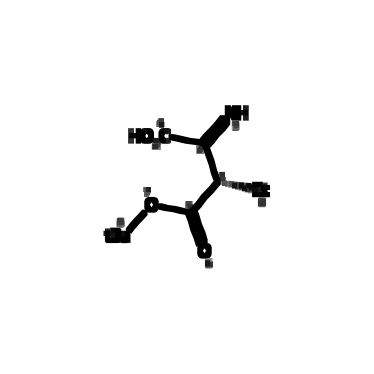 CC[C@@H](C(=N)C(=O)O)C(=O)OC(C)(C)C